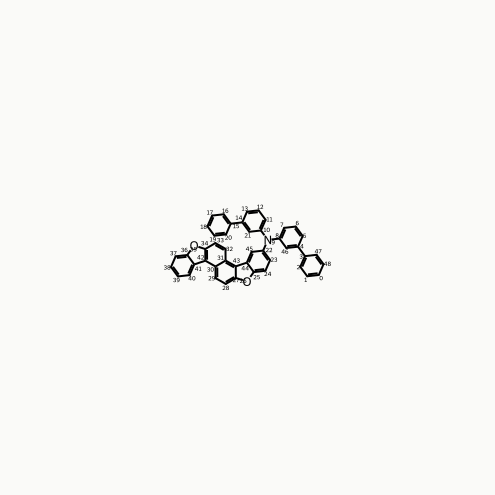 c1ccc(-c2cccc(N(c3cccc(-c4ccccc4)c3)c3ccc4oc5ccc6c(ccc7oc8ccccc8c76)c5c4c3)c2)cc1